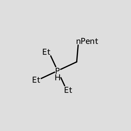 CCCCCC[PH](CC)(CC)CC